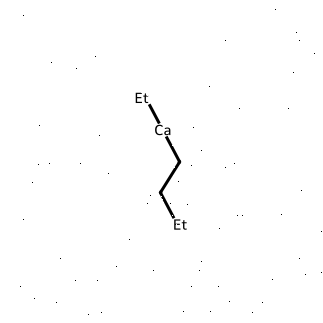 CCC[CH2][Ca][CH2]C